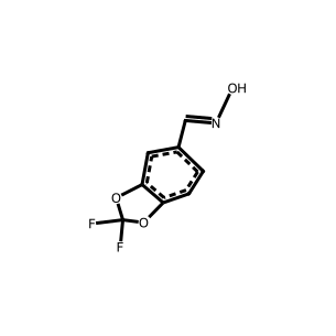 O/N=C/c1ccc2c(c1)OC(F)(F)O2